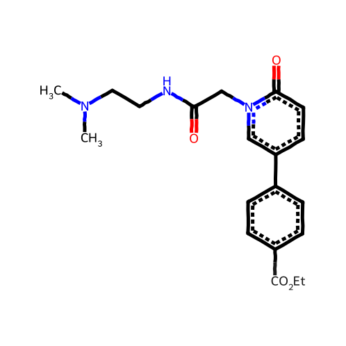 CCOC(=O)c1ccc(-c2ccc(=O)n(CC(=O)NCCN(C)C)c2)cc1